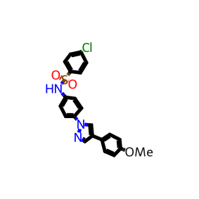 COc1ccc(-c2cnn(-c3ccc(NS(=O)(=O)c4ccc(Cl)cc4)cc3)c2)cc1